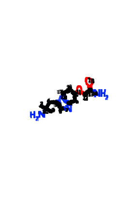 CC(C)(N)Cc1cnc2cc(OCC(N)=O)ccn12